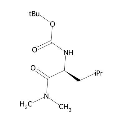 CC(C)C[C@H](NC(=O)OC(C)(C)C)C(=O)N(C)C